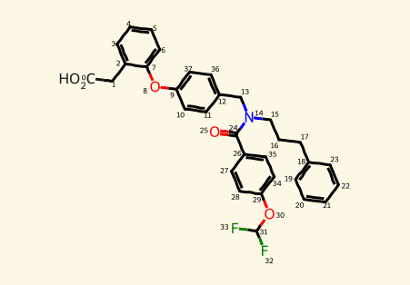 O=C(O)Cc1ccccc1Oc1ccc(CN(CCCc2ccccc2)C(=O)c2ccc(OC(F)F)cc2)cc1